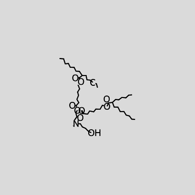 CCCCCCCCC(CCCCCC)C(=O)OCCCCCCC(=O)OCC(CN(C)CCCCO)OC(=O)CCCCCCOC(=O)C(CCCCCC)CCCCCCCC